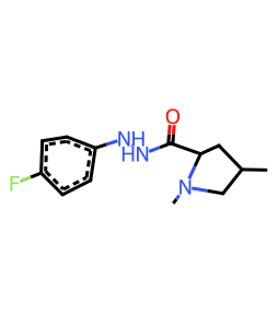 CC1CC(C(=O)NNc2ccc(F)cc2)N(C)C1